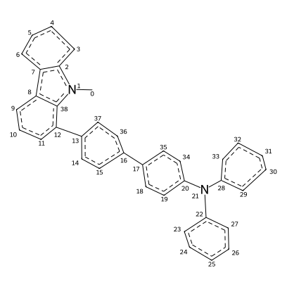 Cn1c2ccccc2c2cccc(-c3ccc(-c4ccc(N(c5ccccc5)c5ccccc5)cc4)cc3)c21